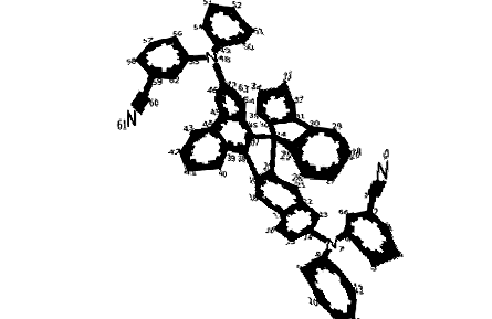 N#Cc1cccc(N(c2ccccc2)c2ccc3cc4c(cc3c2)C2(c3ccccc3-c3ccccc32)c2c-4c3ccccc3c3cc(N(c4ccccc4)c4cccc(C#N)c4)ccc23)c1